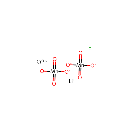 [Cr+3].[F].[Li+].[O]=[Mn](=[O])([O-])[O-].[O]=[Mn](=[O])([O-])[O-]